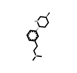 C[C@H]1CC[C@H](c2cccc(CCN(C)C)c2)NC1